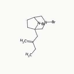 C=C(CC)CC12CCC(CN(Br)C1)N2Br